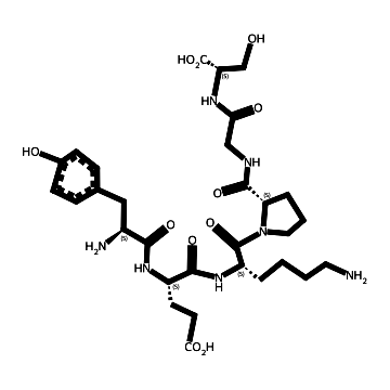 NCCCC[C@H](NC(=O)[C@H](CCC(=O)O)NC(=O)[C@@H](N)Cc1ccc(O)cc1)C(=O)N1CCC[C@H]1C(=O)NCC(=O)N[C@@H](CO)C(=O)O